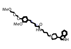 COCCOCOc1ccc(/C=C/C=C/C(=O)NCCCCN2CCC(c3c[nH]c4ccccc34)CC2)cc1OC